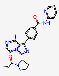 C=CC(=O)N1CCC[C@H]1c1nc(-c2ccc(C(=O)Nc3ccccn3)cc2)c2c(C)nccn12